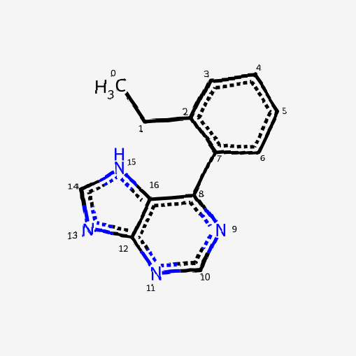 CCc1ccccc1-c1ncnc2nc[nH]c12